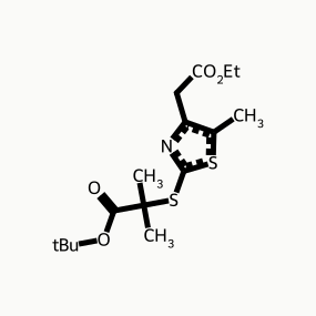 CCOC(=O)Cc1nc(SC(C)(C)C(=O)OC(C)(C)C)sc1C